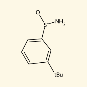 CC(C)(C)c1cccc([S+](N)[O-])c1